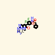 CCn1c(=O)c(-c2ccc(NS(=O)(=O)Cc3ccccc3)c(F)c2F)cc2cnc(N)nc21